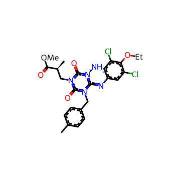 CCOc1c(Cl)cc(/N=c2\n(N)c(=O)n(C[C@H](C)C(=O)OC)c(=O)n2Cc2ccc(C)cc2)cc1Cl